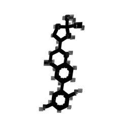 CC1(C)OCC(C2CNc3cc(-c4cc(F)ccc4F)ccc3O2)O1